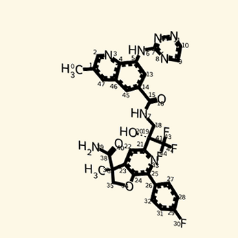 Cc1cnc2c(Nc3nccnn3)cc(C(=O)NC[C@](O)(c3cc4c(c(-c5ccc(F)cc5)n3)OC[C@]4(C)C(N)=O)C(F)(F)F)cc2c1